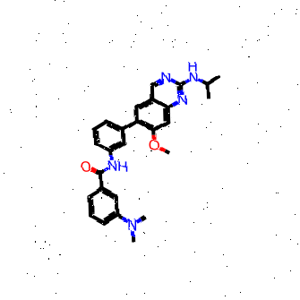 COc1cc2nc(NC(C)C)ncc2cc1-c1cccc(NC(=O)c2cccc(N(C)C)c2)c1